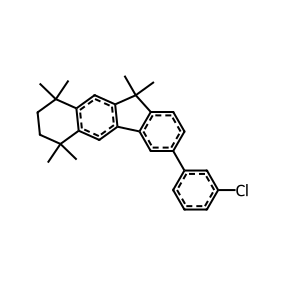 CC1(C)CCC(C)(C)c2cc3c(cc21)-c1cc(-c2cccc(Cl)c2)ccc1C3(C)C